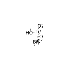 [Bi+3].[O-2].[O]=[Ti]([O-])[OH]